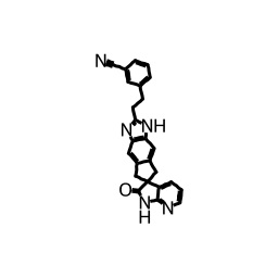 N#Cc1cccc(CCc2nc3cc4c(cc3[nH]2)CC2(C4)C(=O)Nc3ncccc32)c1